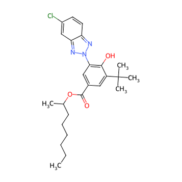 CCCCCCC(C)OC(=O)c1cc(-n2nc3ccc(Cl)cc3n2)c(O)c(C(C)(C)C)c1